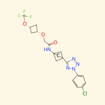 O=C(CO[C@H]1C[C@@H](OC(F)(F)F)C1)NC12CC(c3nnn(-c4ccc(Cl)cc4)n3)(C1)C2